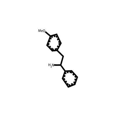 COc1ccc(CC(N)c2ccccc2)cc1